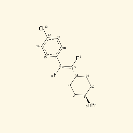 CCC[C@H]1CC[C@H](/C(F)=C(\F)c2ccc(Cl)cc2)CC1